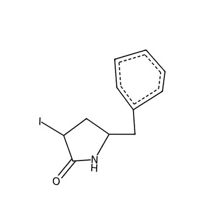 O=C1NC(Cc2ccccc2)CC1I